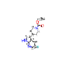 CC(C)(C)OC(=O)N1CCC(c2c[nH]c3ncc(F)cc23)CC1